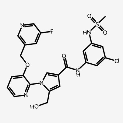 CS(=O)(=O)Nc1cc(Cl)cc(NC(=O)c2cc(CO)n(-c3ncccc3OCc3cncc(F)c3)c2)c1